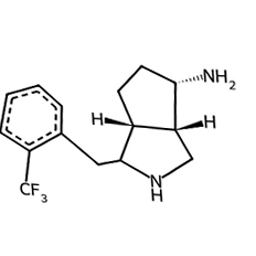 N[C@H]1CC[C@H]2C(Cc3ccccc3C(F)(F)F)NC[C@@H]12